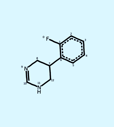 Fc1ccccc1C1CN=CNC1